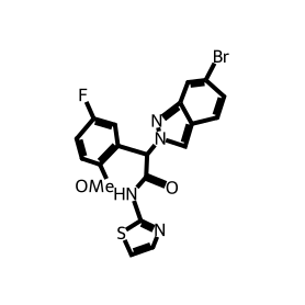 COc1ccc(F)cc1C(C(=O)Nc1nccs1)n1cc2ccc(Br)cc2n1